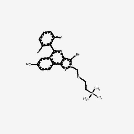 C[Si](C)(C)CCOCn1nc2c(nc(-c3c(F)cccc3F)c3cc(C#N)ccc32)c1Br